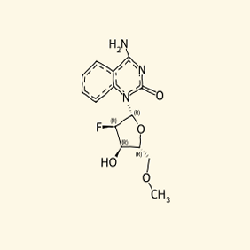 COC[C@H]1O[C@@H](n2c(=O)nc(N)c3ccccc32)[C@H](F)[C@@H]1O